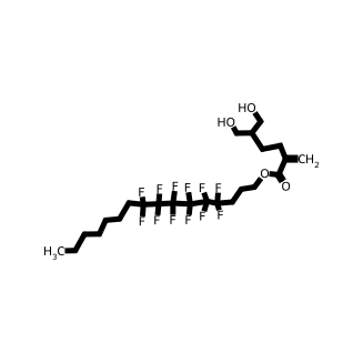 C=C(CCC(CO)CO)C(=O)OCCCC(F)(F)C(F)(F)C(F)(F)C(F)(F)C(F)(F)C(F)(F)CCCCCCC